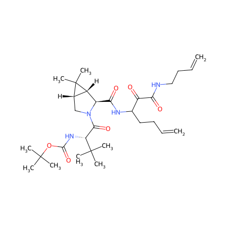 C=CCCNC(=O)C(=O)C(CCC=C)NC(=O)[C@@H]1[C@@H]2[C@H](CN1C(=O)[C@@H](NC(=O)OC(C)(C)C)C(C)(C)C)C2(C)C